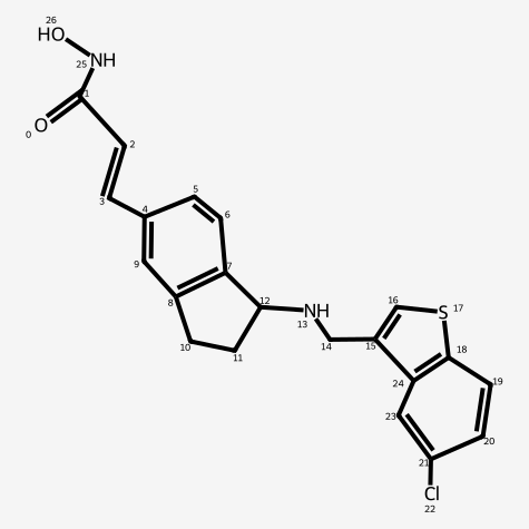 O=C(C=Cc1ccc2c(c1)CCC2NCc1csc2ccc(Cl)cc12)NO